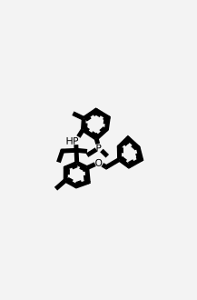 CCC(C)(Pc1c(C)cccc1P(C)C)c1cc(C)ccc1OCc1ccccc1